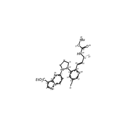 CCOC(=O)c1cnn2ccc(N3CCCN3c3cc(F)cnc3/C=C/[C@@H](C)NC(=O)OC(C)(C)C)nc12